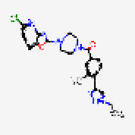 CC(C)(C)Cn1cc(-c2ccc(C(=O)N3CCN(c4nc5nc(Cl)ccc5o4)CC3)cc2C(F)(F)F)nn1